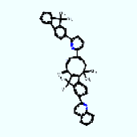 C=C1/C=C\C(c2cccc(-c3ccc4c(c3)C(C)(C)c3ccccc3-4)n2)=C/CC(C)(C)C2=C1C(C)(C)c1cc(-c3ccc4ccccc4n3)ccc12